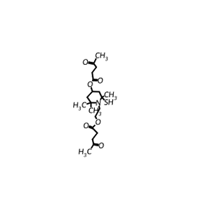 CC(=O)CCC(=O)OCCN1C(C)(C)CC(OC(=O)CCC(C)=O)CC1(C)S